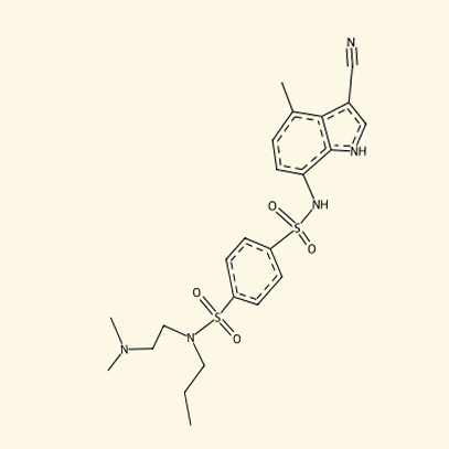 CCCN(CCN(C)C)S(=O)(=O)c1ccc(S(=O)(=O)Nc2ccc(C)c3c(C#N)c[nH]c23)cc1